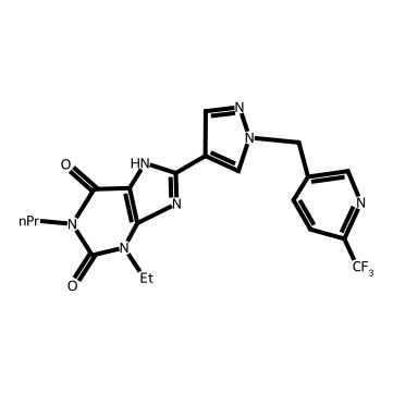 CCCn1c(=O)c2[nH]c(-c3cnn(Cc4ccc(C(F)(F)F)nc4)c3)nc2n(CC)c1=O